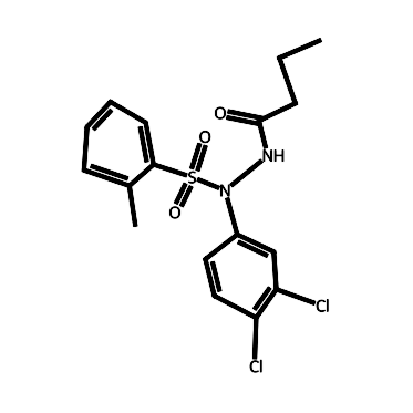 CCCC(=O)NN(c1ccc(Cl)c(Cl)c1)S(=O)(=O)c1ccccc1C